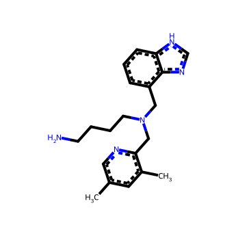 Cc1cnc(CN(CCCCN)Cc2cccc3[nH]cnc23)c(C)c1